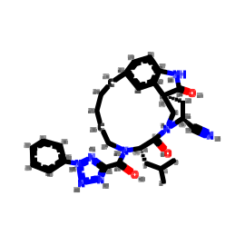 CC(C)C[C@H]1C(=O)N2C[C@]3(C[C@H]2C#N)C(=O)Nc2ccc(cc23)CCCCCN1C(=O)c1nnn(-c2ccccc2)n1